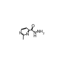 Cc1nccc(C(=O)NN)n1